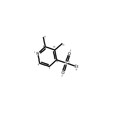 CCS(=O)(=O)c1ccnc(C)c1C